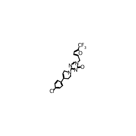 O=c1nc(N2CC=C(c3ccc(Cl)cc3)CC2)ncn1Cc1ccc(C(F)(F)F)o1